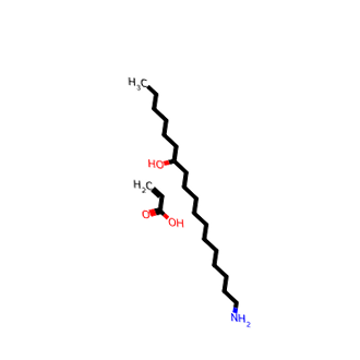 C=CC(=O)O.CCCCCCC(O)CCCCCCCCCCCN